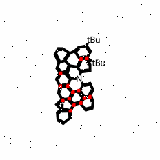 CC(C)(C)c1cc(-c2cccc3cccc(-c4ccccc4N(c4ccccc4-c4cccc5c4sc4ccccc45)c4ccccc4-c4cccc5cccc(-c6ccccc6)c45)c23)cc(C(C)(C)C)c1